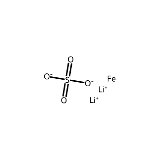 O=S(=O)([O-])[O-].[Fe].[Li+].[Li+]